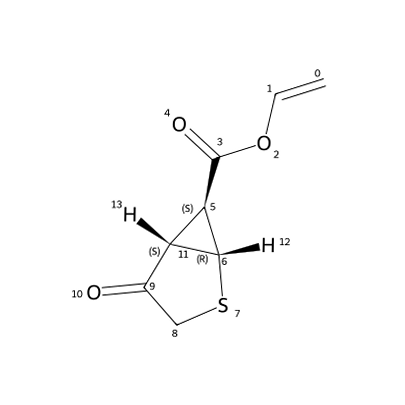 C=COC(=O)[C@H]1[C@@H]2SCC(=O)[C@@H]21